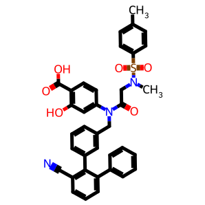 Cc1ccc(S(=O)(=O)N(C)CC(=O)N(Cc2cccc(-c3c(C#N)cccc3-c3ccccc3)c2)c2ccc(C(=O)O)c(O)c2)cc1